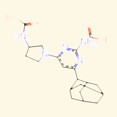 Nc1nc(C2C3CC4CC(C3)CC2C4)cc(N2CCC(NC(=O)O)C2)n1.O=CO